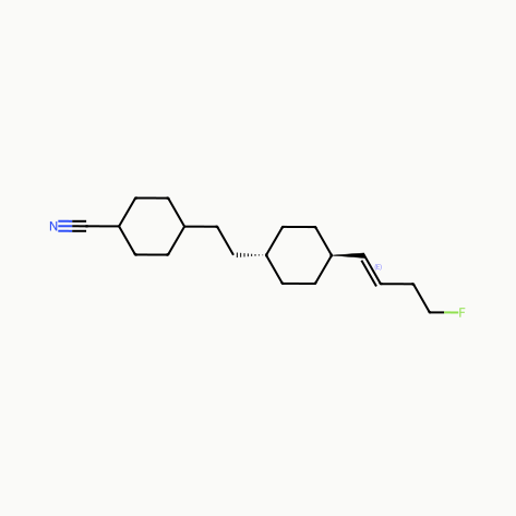 N#CC1CCC(CC[C@H]2CC[C@H](/C=C/CCF)CC2)CC1